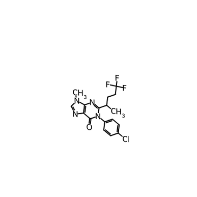 CC(CCC(F)(F)F)c1nc2c(ncn2C)c(=O)n1-c1ccc(Cl)cc1